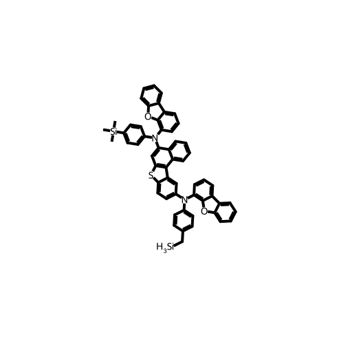 C[Si](C)(C)c1ccc(N(c2cc3sc4ccc(N(c5ccc(C[SiH3])cc5)c5cccc6c5oc5ccccc56)cc4c3c3ccccc23)c2cccc3c2oc2ccccc23)cc1